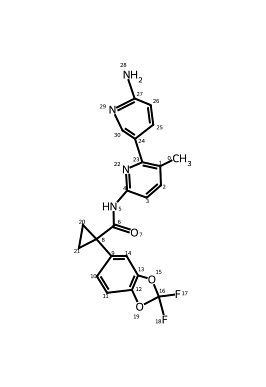 Cc1ccc(NC(=O)C2(c3ccc4c(c3)OC(F)(F)O4)CC2)nc1-c1ccc(N)nc1